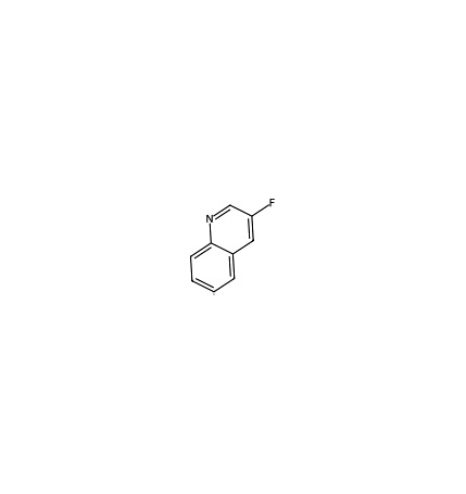 Fc1cnc2cc[c]cc2c1